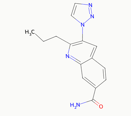 CCCc1nc2cc(C(N)=O)ccc2cc1-n1ccnn1